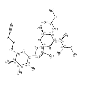 C#CCCO[C@@H]1O[C@H](CO[C@]2(C(=O)O)C[C@@H](O)[C@H](NC(=O)CO)[C@@H]([C@@H](O)[C@@H](O)CO)O2)[C@H](O)[C@H](O)[C@H]1O